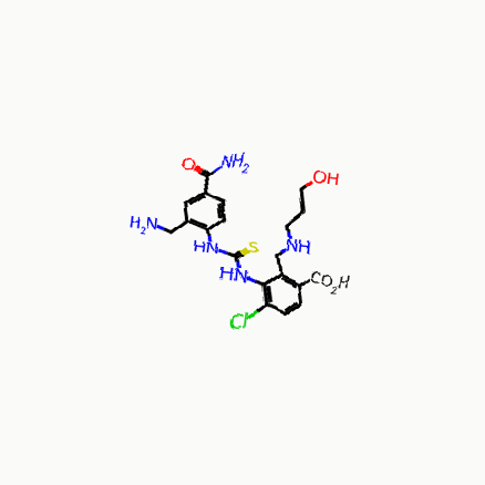 NCc1cc(C(N)=O)ccc1NC(=S)Nc1c(Cl)ccc(C(=O)O)c1CNCCCO